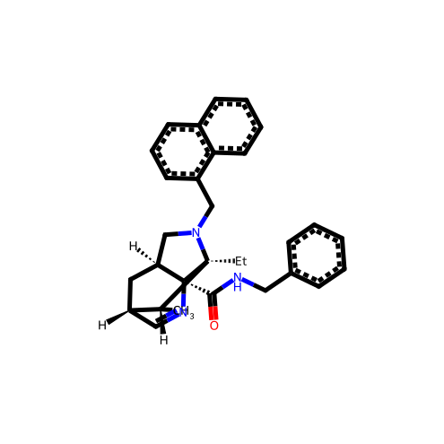 CC[C@]12[C@H](C)[C@@H]3C=N[C@@]1(C(=O)NCc1ccccc1)[C@@H](C3)CN2Cc1cccc2ccccc12